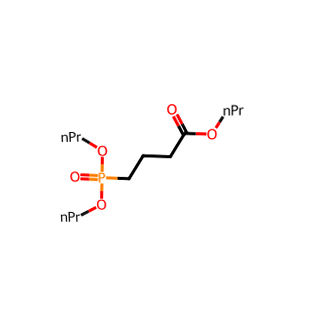 CCCOC(=O)CCCP(=O)(OCCC)OCCC